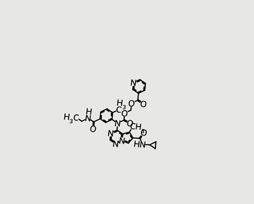 CCNC(=O)c1ccc(C)c(N(C(=O)OCOC(=O)c2cccnc2)c2ncnn3cc(C(=O)NC4CC4)c(C)c23)c1